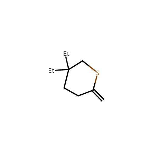 C=C1CCC(CC)(CC)CS1